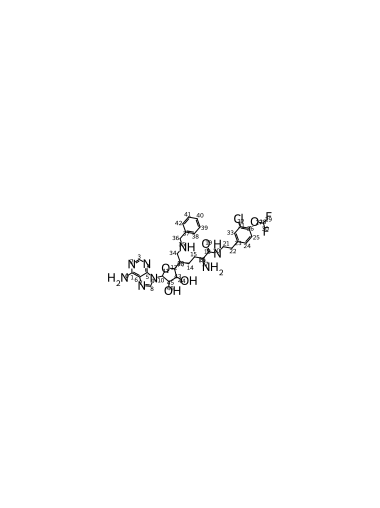 Nc1ncnc2c1ncn2C1OC([C@H](CC[C@H](N)C(=O)NCCc2ccc(OC(F)F)c(Cl)c2)CNCc2ccccc2)C(O)C1O